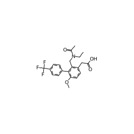 CCN(Cc1c(CC(=O)O)ccc(OC)c1-c1ccc(C(F)(F)F)cc1)C(C)=O